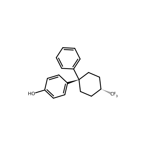 Oc1ccc([C@]2(c3ccccc3)CC[C@@H](C(F)(F)F)CC2)cc1